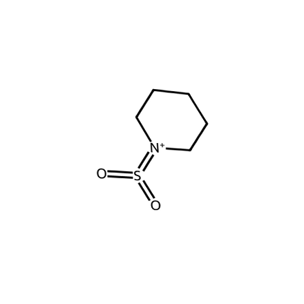 O=S(=O)=[N+]1CCCCC1